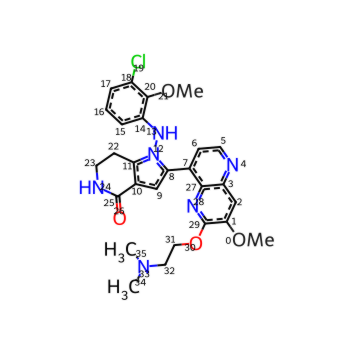 COc1cc2nccc(-c3cc4c(n3Nc3cccc(Cl)c3OC)CCNC4=O)c2nc1OCCN(C)C